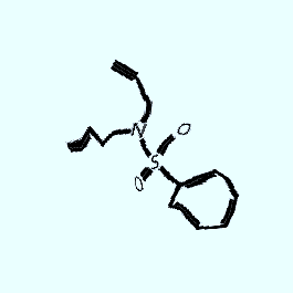 C#CCN(CC=C)S(=O)(=O)c1ccccc1